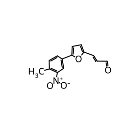 Cc1ccc(-c2ccc(C=CC=O)o2)cc1[N+](=O)[O-]